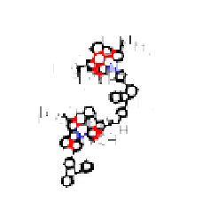 CC(C)(C)c1cc(-c2cccc3cccc(-c4ccccc4N(c4ccc(-c5cccc6c5-c5ccccc5C6(C)c5ccc(CC(C)(C)c6cc(-c7cccc8cccc(-c9ccccc9N(c9ccc(-c%10ccc%11c(c%10)C(C)(c%10ccccc%10)c%10ccccc%10-%11)cc9)c9ccc(C(C)(C)C)cc9-c9ccccc9)c78)cc(C(C)(C)C)c6)cc5)cc4)c4ccc(C(C)(C)C)cc4-c4ccccc4)c23)cc(C(C)(C)C)c1